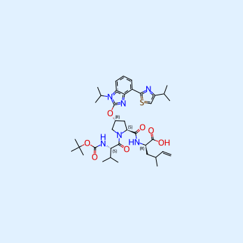 C=CC(C)C[C@@H](NC(=O)[C@@H]1C[C@@H](Oc2nc3c(-c4nc(C(C)C)cs4)cccc3n2C(C)C)CN1C(=O)[C@@H](NC(=O)OC(C)(C)C)C(C)C)C(=O)O